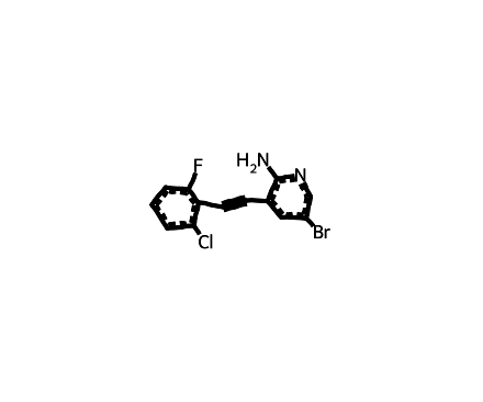 Nc1ncc(Br)cc1C#Cc1c(F)cccc1Cl